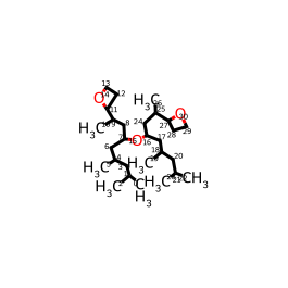 CC(C)CC(C)CC(CC(C)C1CCO1)OC(CC(C)CC(C)C)CC(C)C1CCO1